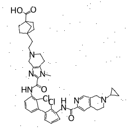 Cn1c(C(=O)Nc2cccc(-c3cccc(NC(=O)c4cc5c(cn4)CN(C4CC4)CC5)c3Cl)c2Cl)nc2c1CCN(CCC13CCC(C(=O)O)(CC1)C3)C2